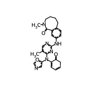 Cc1cnc(Nc2ccc3c(c2)C(=O)N(C)CCCC3)nc1N(C1=CC=CCC1=O)c1cnco1